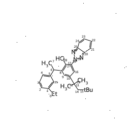 CCc1cccc(C(C)c2cc(C(C)(C)CC(C)(C)C)cc(-n3nc4ccccc4n3)c2O)c1